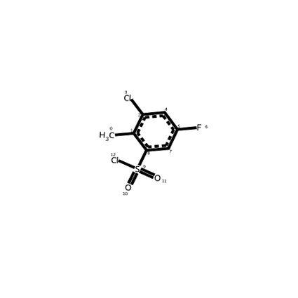 Cc1c(Cl)cc(F)cc1S(=O)(=O)Cl